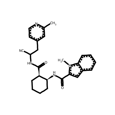 Cc1cc(CC(C#N)NC(=O)[C@@H]2CCCC[C@@H]2NC(=O)c2cc3ccccc3n2C)ccn1